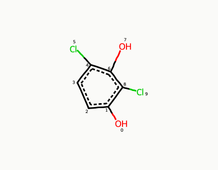 Oc1ccc(Cl)c(O)c1Cl